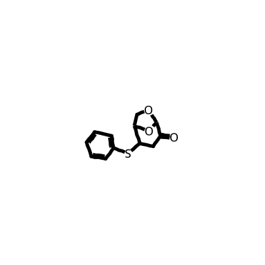 O=C1CC(Sc2ccccc2)C2COC1O2